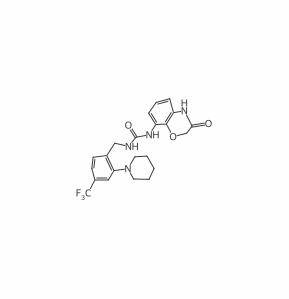 O=C1COc2c(cccc2NC(=O)NCc2ccc(C(F)(F)F)cc2N2CCCCC2)N1